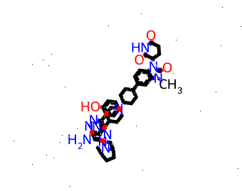 Cn1c(=O)n(C2CCC(=O)NC2=O)c2ccc(C3CCC(N4CCC(c5nccc(N6C7CCC6CN(c6cc(-c8ccccc8O)nnc6N)C7)n5)CC4)CC3)cc21